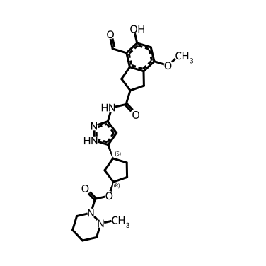 COc1cc(O)c(C=O)c2c1CC(C(=O)Nc1cc([C@H]3CC[C@@H](OC(=O)N4CCCCN4C)C3)[nH]n1)C2